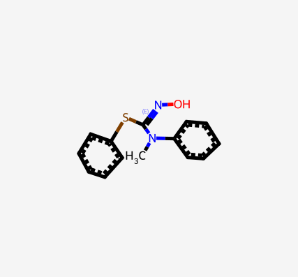 CN(/C(=N\O)Sc1ccccc1)c1ccccc1